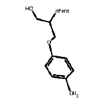 CCCCCC(CO)COc1ccc(C)cc1